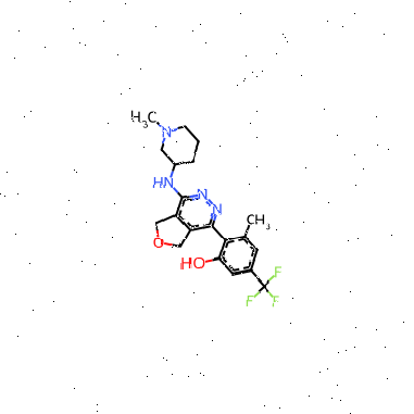 Cc1cc(C(F)(F)F)cc(O)c1-c1nnc(NC2CCCN(C)C2)c2c1COC2